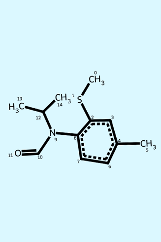 CSc1cc(C)ccc1N(C=O)C(C)C